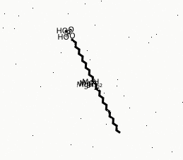 CCCCCCCCCCCCCCCCCCCCCCCCCCCCOP(=O)(O)O.[MgH2].[MgH2].[MgH2]